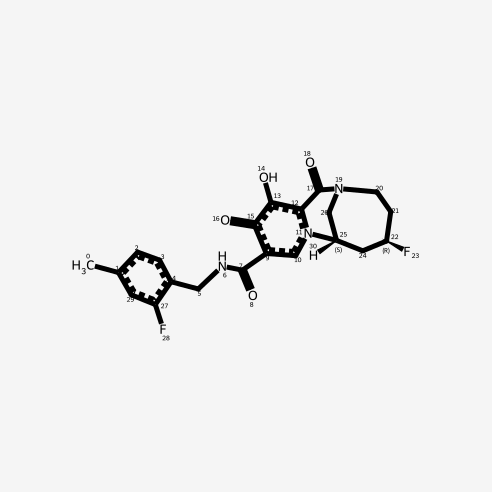 Cc1ccc(CNC(=O)c2cn3c(c(O)c2=O)C(=O)N2CC[C@@H](F)C[C@H]3C2)c(F)c1